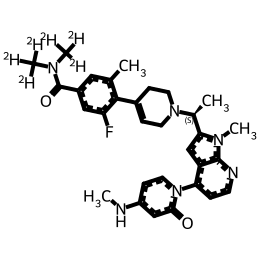 [2H]C([2H])([2H])N(C(=O)c1cc(C)c(C2=CCN([C@@H](C)c3cc4c(-n5ccc(NC)cc5=O)ccnc4n3C)CC2)c(F)c1)C([2H])([2H])[2H]